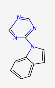 c1ccc2c(c1)ccn2-c1ncncn1